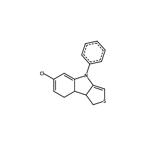 ClC1=CCC2C(=C1)N(c1ccccc1)C1=CSCC12